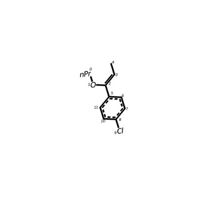 [CH2]CCOC(=CC)c1ccc(Cl)cc1